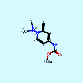 C=C1C=C(NC(=O)OC(C)(C)C)C=CN1N(C)C(F)(F)F